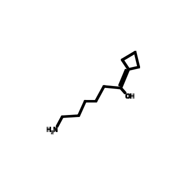 NCCCCCC(O)=C1CCC1